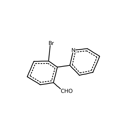 O=Cc1cccc(Br)c1-c1ccccn1